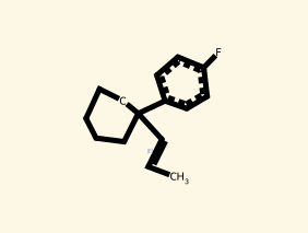 C/C=C/C1(c2ccc(F)cc2)CCCCC1